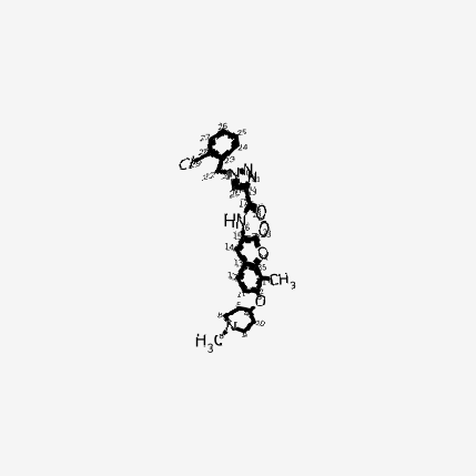 Cc1c(OC2CCN(C)CC2)ccc2cc(NC(=O)c3cn(Cc4ccccc4Cl)nn3)c(=O)oc12